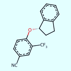 N#Cc1ccc(O[C@H]2CCc3ccccc32)c(C(F)(F)F)c1